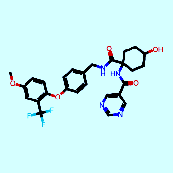 COc1ccc(Oc2ccc(CNC(=O)C3(NC(=O)c4cncnc4)CCC(O)CC3)cc2)c(C(F)(F)F)c1